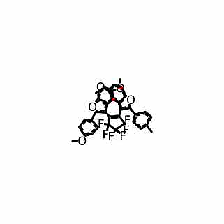 COc1ccc(-c2oc3ccc(OC)cc3c2C2=C(c3c(-c4ccc(C)cc4)oc4ccc(OC)cc34)C(F)(F)C(F)(F)C2(F)F)cc1